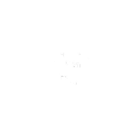 C=C(C)C(=O)O.C=C(C)C(=O)O.CCCO